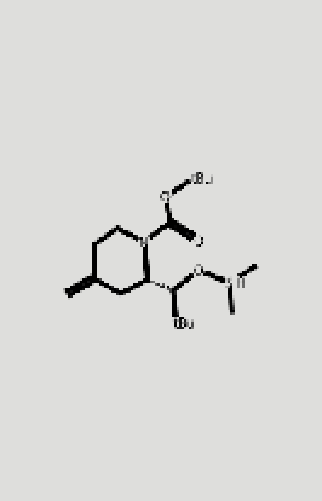 C=C1CCN(C(=O)OC(C)(C)C)[C@H](C(O[SiH](C)C)C(C)(C)C)C1